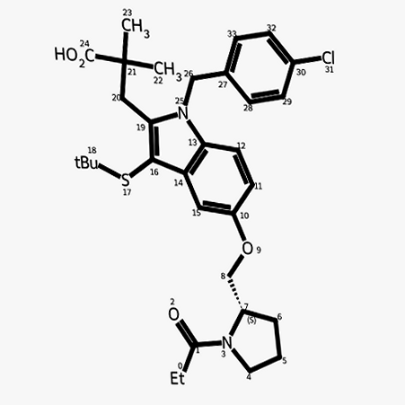 CCC(=O)N1CCC[C@H]1COc1ccc2c(c1)c(SC(C)(C)C)c(CC(C)(C)C(=O)O)n2Cc1ccc(Cl)cc1